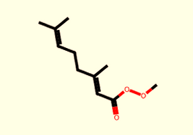 COOC(=O)/C=C(\C)CCC=C(C)C